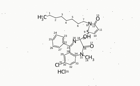 CCCCCCCCn1sccc1=O.CN1C(=O)C(O)N=C(c2ccccc2)c2cc(Cl)ccc21.Cl